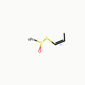 C/C=C\S[S+]([O-])CCC